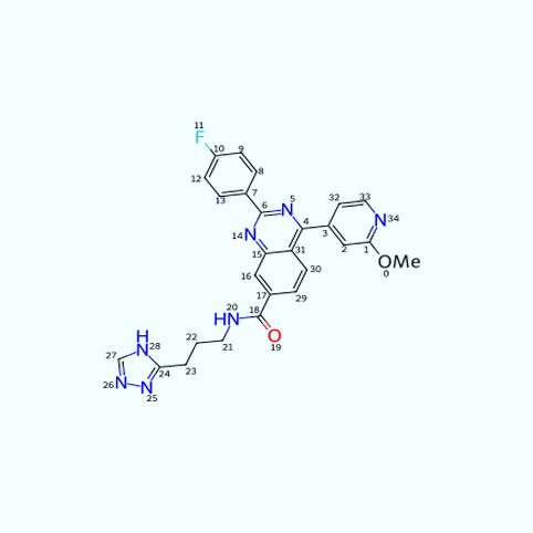 COc1cc(-c2nc(-c3ccc(F)cc3)nc3cc(C(=O)NCCCc4nnc[nH]4)ccc23)ccn1